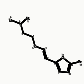 CCN(CC)CCON=Cc1ccc(Br)o1